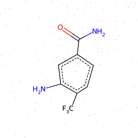 NC(=O)c1ccc(C(F)(F)F)c(N)c1